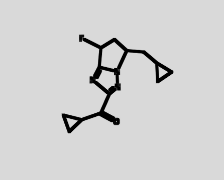 O=C(c1nc2n(n1)C(CC1CC1)CC2F)C1CC1